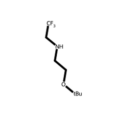 CC(C)(C)OCCNCC(F)(F)F